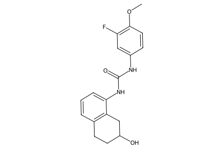 COc1ccc(NC(=O)Nc2cccc3c2CC(O)CC3)cc1F